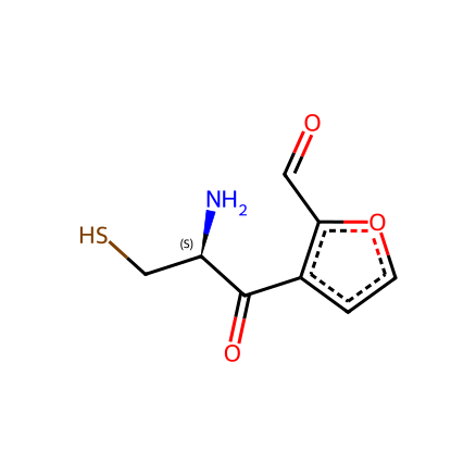 N[C@H](CS)C(=O)c1ccoc1C=O